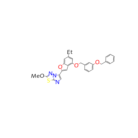 CCc1cc(OCc2cccc(OCc3ccccc3)c2)c2cc(-c3cnc4sc(OC)nn34)oc2c1